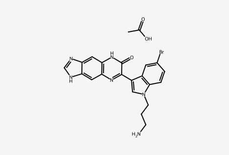 CC(=O)O.NCCCn1cc(-c2nc3cc4[nH]cnc4cc3[nH]c2=O)c2cc(Br)ccc21